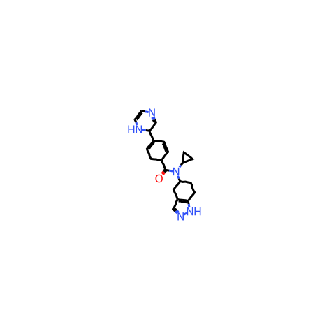 O=C(C1C=CC(C2C=NC=CN2)=CC1)N(C1CC1)C1CCc2[nH]ncc2C1